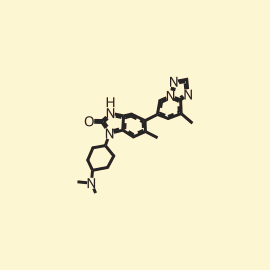 Cc1cc2c(cc1-c1cc(C)c3ncnn3c1)[nH]c(=O)n2C1CCC(N(C)C)CC1